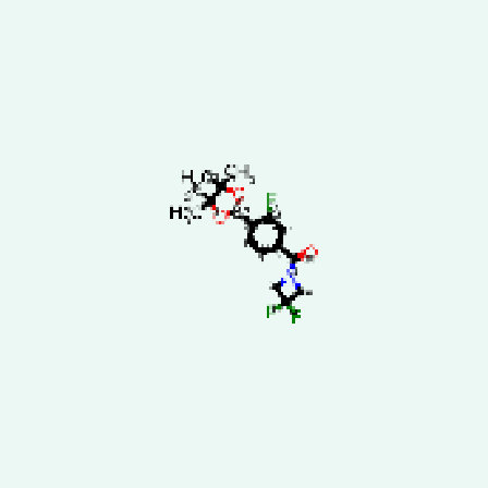 CC1(C)OB(c2ccc(C(=O)N3CC(F)(F)C3)cc2F)OC1(C)C